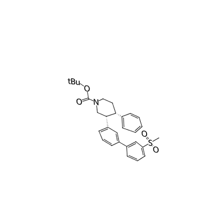 CC(C)(C)OC(=O)N1CC[C@H](c2ccccc2)[C@H](c2cccc(-c3cccc(S(C)(=O)=O)c3)c2)C1